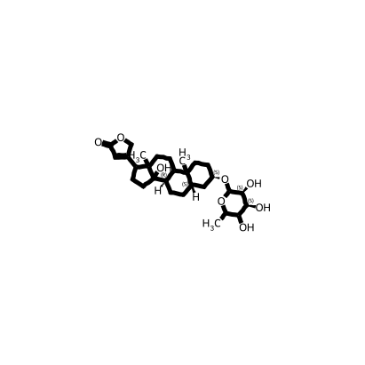 CC1OC(O[C@H]2CCC3(C)C4CCC5(C)C(C6=CC(=O)OC6)CCC5(O)[C@@H]4CC[C@H]3C2)[C@@H](O)[C@@H](O)C1O